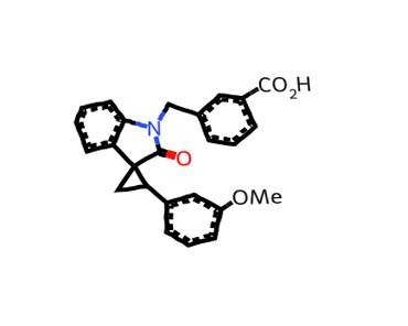 COc1cccc(C2CC23C(=O)N(Cc2cccc(C(=O)O)c2)c2ccccc23)c1